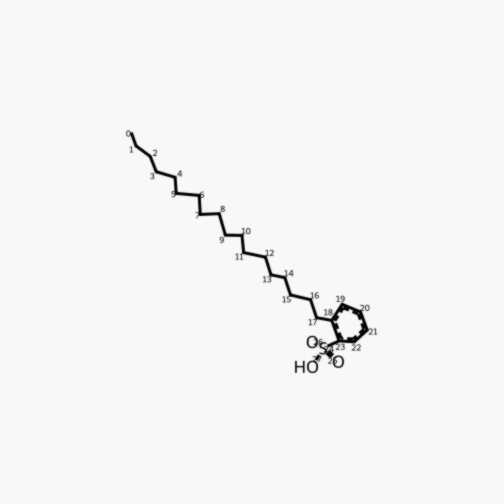 CCCCCCCCCCCCCCCCCCc1ccccc1S(=O)(=O)O